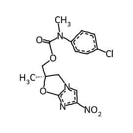 CN(C(=O)OC[C@@]1(C)Cn2cc([N+](=O)[O-])nc2O1)c1ccc(Cl)cc1